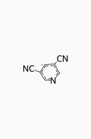 N#Cc1[c]c(C#N)cnc1